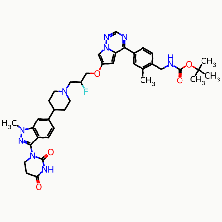 Cc1cc(-c2ncnn3cc(OCC(F)CN4CCC(c5ccc6c(N7CCC(=O)NC7=O)nn(C)c6c5)CC4)cc23)ccc1CNC(=O)OC(C)(C)C